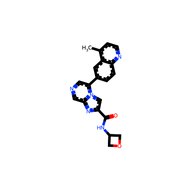 Cc1ccnc2ccc(-c3cncc4nc(C(=O)NC5COC5)cn34)cc12